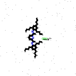 CCCCc1cc(CCCC)c(N=C(C)c2cccc(C(C)=Nc3c(CCCC)cc(CCCC)cc3CCCC)n2)c(CCCC)c1.[Cl-].[Cl-].[Cl-].[V+3]